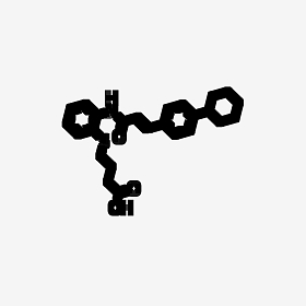 O=C(O)CCCSc1ccccc1NC(=O)C=Cc1ccc(C2CCCCC2)cc1